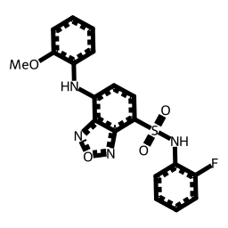 COc1ccccc1Nc1ccc(S(=O)(=O)Nc2ccccc2F)c2nonc12